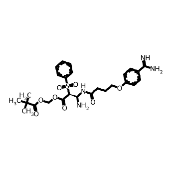 CC(C)(C)C(=O)OCOC(=O)[C@H](C(N)NC(=O)CCCOc1ccc(C(=N)N)cc1)S(=O)(=O)c1ccccc1